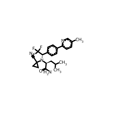 Cc1ccc(-c2ccc([C@H](N([C@@H](CC(C)C)C(N)=O)C3(C#N)CC3)C(F)(F)F)cc2)nc1